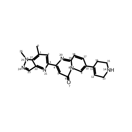 Cc1cc(-c2cc(=O)n3cc(C4=CCNCC4)ccc3n2)nc2cnn(C)c12